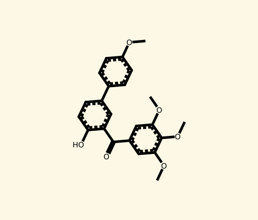 COc1ccc(-c2ccc(O)c(C(=O)c3cc(OC)c(OC)c(OC)c3)c2)cc1